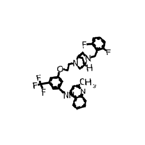 Cc1cc(Nc2cc(OCCN3C[C@@H]4CC3CN4Cc3c(F)cccc3F)cc(C(F)(F)F)c2)c2ccccc2n1